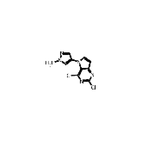 Cn1cc(-n2ccc3nc(Cl)nc(Cl)c32)cn1